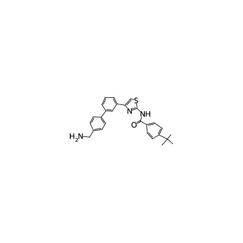 CC(C)(C)c1ccc(C(=O)Nc2nc(-c3cccc(-c4ccc(CN)cc4)c3)cs2)cc1